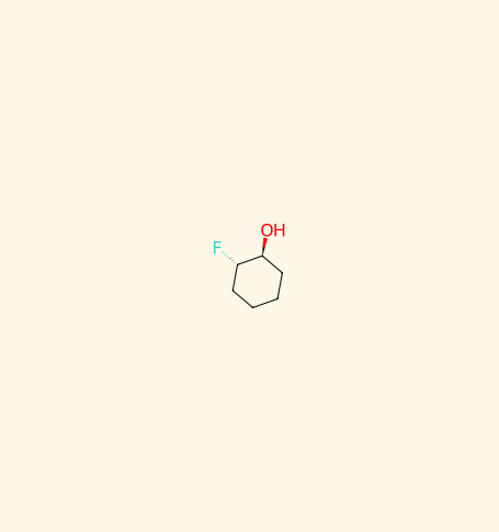 O[C@H]1CCCC[C@@H]1F